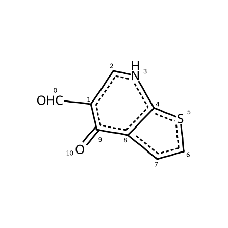 O=Cc1c[nH]c2sccc2c1=O